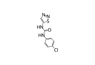 O=C(Nc1ccc(Cl)cc1)Nc1cnns1